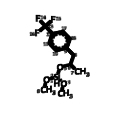 CO[SiH](OC)OC(C)Cc1ccc(C(F)(F)F)cc1